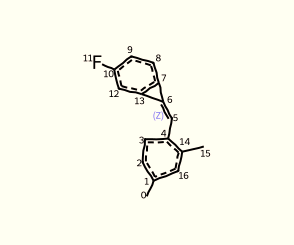 Cc1ccc(/C=C2/c3ccc(F)cc32)c(C)c1